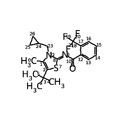 Cc1c(C(C)(C)C)s/c(=N\C(=O)c2ccccc2C(F)(F)F)n1CC1CC1